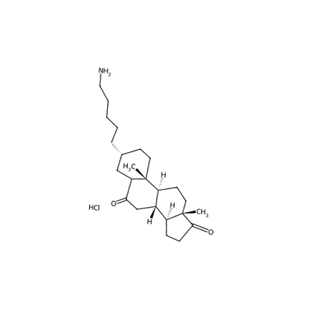 C[C@]12CC[C@@H](CCCCCN)CC1C(=O)C[C@@H]1[C@@H]2CC[C@]2(C)C(=O)CC[C@@H]12.Cl